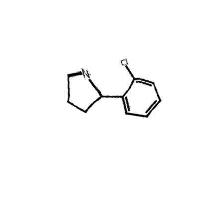 Clc1ccccc1C1CCC[N]1